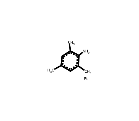 Cc1cc(C)c(N)c(C)c1.[Pt]